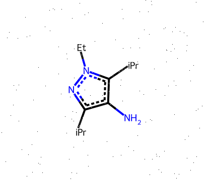 CCn1nc(C(C)C)c(N)c1C(C)C